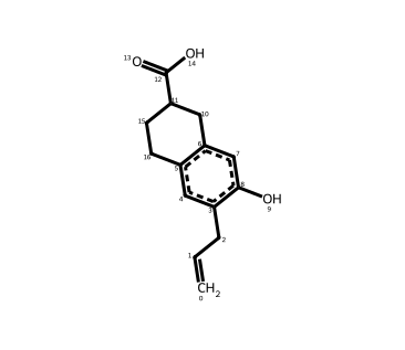 C=CCc1cc2c(cc1O)CC(C(=O)O)CC2